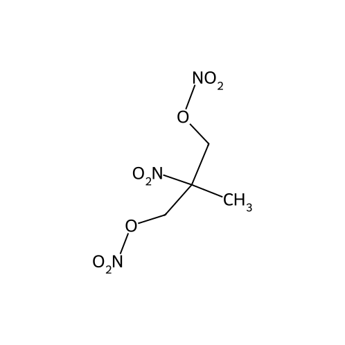 CC(CO[N+](=O)[O-])(CO[N+](=O)[O-])[N+](=O)[O-]